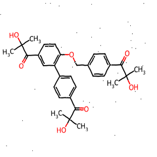 CC(C)(O)C(=O)c1ccc(COc2ccc(C(=O)C(C)(C)O)cc2-c2ccc(C(=O)C(C)(C)O)cc2)cc1